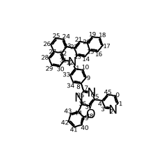 c1cncc(-c2nc(-c3ccc(N4c5cc6ccccc6cc5-c5cccc6cccc4c56)cc3)nc3c2oc2ccccc23)c1